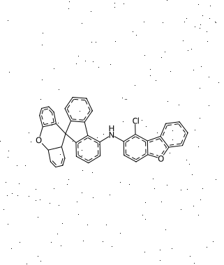 Clc1c(Nc2cccc3c2-c2ccccc2C32c3ccccc3OC3C=CC=CC32)ccc2oc3ccccc3c12